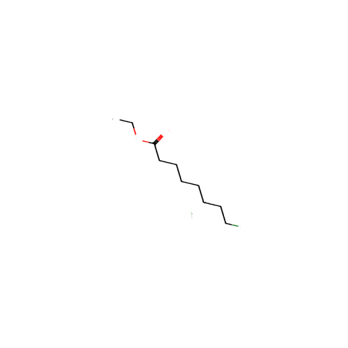 CCOC(=O)CCCC[C@@H](Cl)CCCl